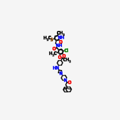 CSc1cc(C)[nH]c(=O)c1CNC(=O)c1cc(Cl)c2c(c1C)OC(C)(C1CCC(NC3CN(C4CCN(C(=O)CC56CC7CC(CC(C7)C5)C6)CC4)C3)CC1)O2